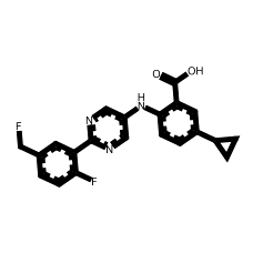 O=C(O)c1cc(C2CC2)ccc1Nc1cnc(-c2cc(CF)ccc2F)nc1